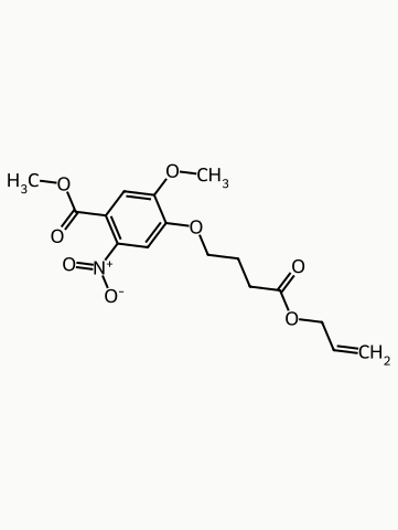 C=CCOC(=O)CCCOc1cc([N+](=O)[O-])c(C(=O)OC)cc1OC